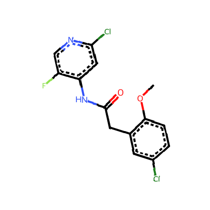 COc1ccc(Cl)cc1CC(=O)Nc1cc(Cl)ncc1F